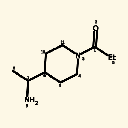 CCC(=O)N1CCC(C(C)N)CC1